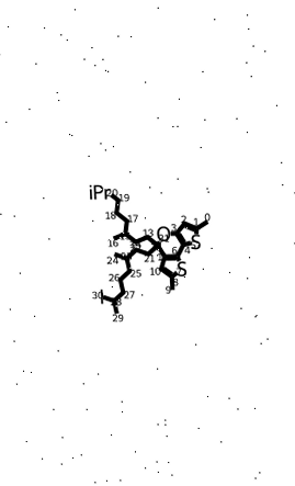 Cc1cc2c(s1)-c1sc(C)cc1C(CCC(C)CCCC(C)C)(CCC(C)CCCC(C)I)O2